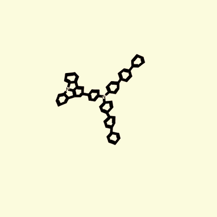 c1ccc(-c2ccc(-c3ccc(N(c4ccc(-c5ccc(-c6ccccc6)cc5)cc4)c4ccc(-c5cc6c7ccccc7n7c8ccccc8c(c5)c67)cc4)cc3)cc2)cc1